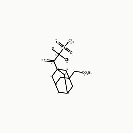 CCOC(=O)CC12CC3CC(C1)CC(C(=O)C(C)(C#N)S(=O)(=O)C(F)(F)F)(C3)C2